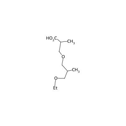 CCOCC(C)COCC(C)C(=O)O